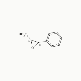 O=C(O)[C@H]1O[C@H]1c1ccccc1